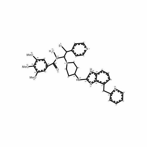 CCC(c1ccncc1)C(N1CCC(Nc2nc3c(Cc4ccccn4)cccc3[nH]2)CC1)N(C)C(=O)c1cc(OC)c(OC)c(OC)c1